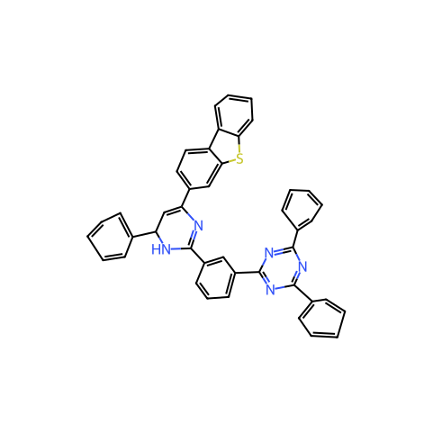 C1=C(c2ccc3c(c2)sc2ccccc23)N=C(c2cccc(-c3nc(-c4ccccc4)nc(-c4ccccc4)n3)c2)NC1c1ccccc1